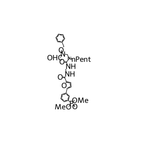 CCCCC[C@H](CN(C=O)OCc1ccccc1)C(=O)NCNC(=O)c1ccc(-c2cccc(P(=O)(OC)OC)c2)o1